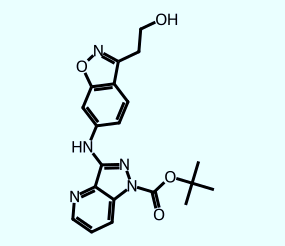 CC(C)(C)OC(=O)n1nc(Nc2ccc3c(CCO)noc3c2)c2ncccc21